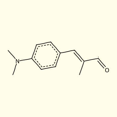 C/C([C]=O)=C\c1ccc(N(C)C)cc1